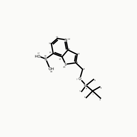 CC(C)(C)[Si](C)(C)OCc1cc2nccc(B(O)O)c2s1